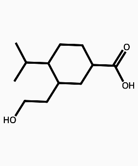 CC(C)C1CCC(C(=O)O)CC1CCO